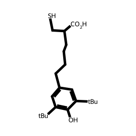 CC(C)(C)c1cc(CCCCC(CS)C(=O)O)cc(C(C)(C)C)c1O